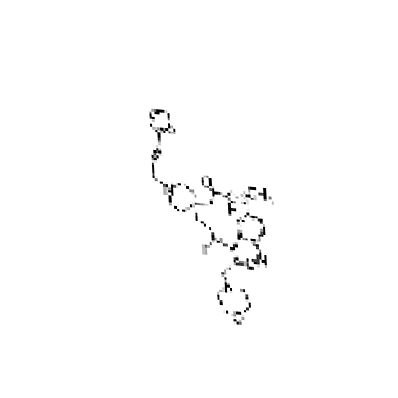 COc1ccc2ncc(CN3CCOCC3)c([C@H](F)CCC3(CC(=O)O)CCN(CC#Cc4cccs4)CC3)c2c1